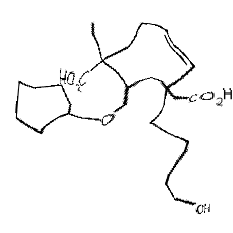 CC1(C(=O)O)CC=CC(CCCO)(C(=O)O)C1OC1CCCC1